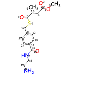 COC(=O)CC(C)C(=O)SCc1ccc(C(=O)NCCN)cc1